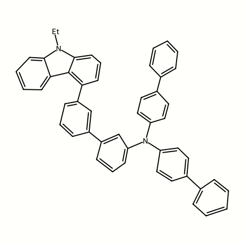 CCn1c2ccccc2c2c(-c3cccc(-c4cccc(N(c5ccc(-c6ccccc6)cc5)c5ccc(-c6ccccc6)cc5)c4)c3)cccc21